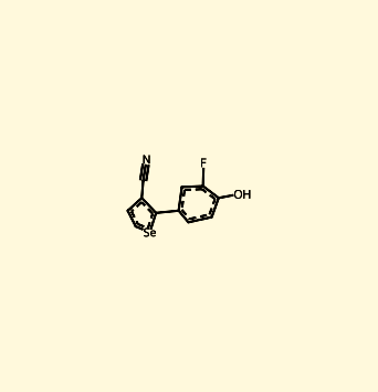 N#Cc1cc[se]c1-c1ccc(O)c(F)c1